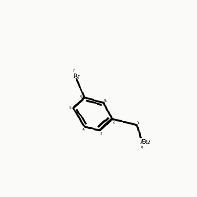 CCC(C)Cc1cccc(Br)c1